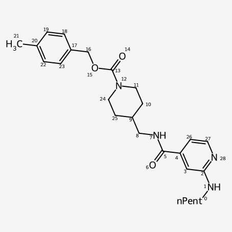 CCCCCNc1cc(C(=O)NCC2CCN(C(=O)OCc3ccc(C)cc3)CC2)ccn1